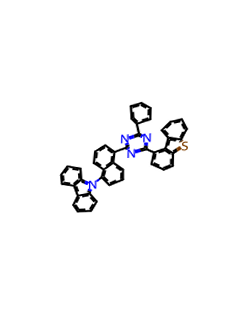 c1ccc(-c2nc(-c3cccc4c(-n5c6ccccc6c6ccccc65)cccc34)nc(-c3cccc4sc5ccccc5c34)n2)cc1